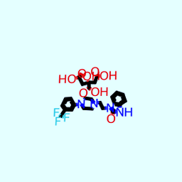 O=C(O)CC(O)(CC(=O)O)C(=O)O.O=c1[nH]c2ccccc2n1CCN1CCN(c2cccc(C(F)(F)F)c2)CC1